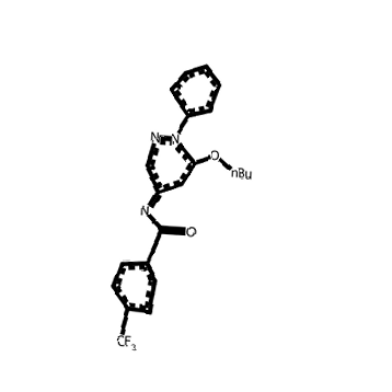 CCCCOc1c/c(=N\C(=O)c2ccc(C(F)(F)F)cc2)cnn1-c1ccccc1